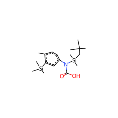 Cc1ccc(N(C(=O)O)[Si](C)(C)CC(C)(C)C)cc1[Si](C)(C)C